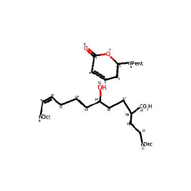 CCCCCC1CC=CC(=O)O1.CCCCCCCC/C=C\CCCC(O)CCC(CCCCCCCCCCCC)C(=O)O